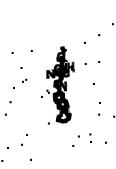 CCOCCNS(=O)(=O)/C(C#N)=C/c1ccc(-c2ccc3cc(N4CCCCC4)ccc3c2)n1C